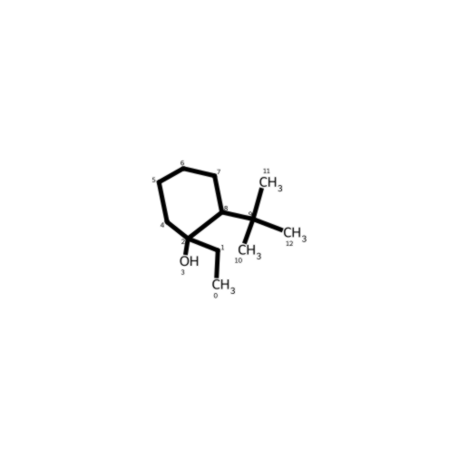 CCC1(O)CCCCC1C(C)(C)C